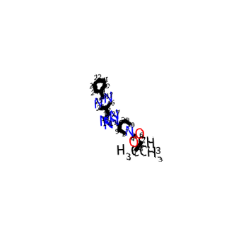 CC(C)(C)OC(=O)N1CCC(n2nnc(-c3cnc(-c4ccccc4)nc3)n2)CC1